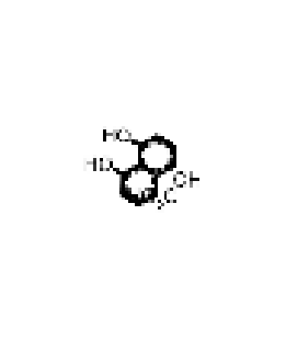 O=C(O)O.Oc1cccc2cccc(O)c12